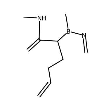 C=CCCC(B(C)N=C)C(=C)NC